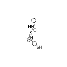 Cc1oc(-c2ccc(S)cc2)nc1CSCC(=O)NCc1ccccc1